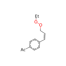 CCOOC/C=C\c1ccc(C(C)=O)cc1